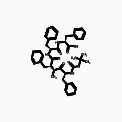 CN(C(=O)[C@H](Cc1ccccc1)NC(=O)OC(C)(C)C)[C@@H](Cc1ccccc1)C(=O)N[C@@H](Cc1ccccc1)C(=O)N[C@@H](Cc1ccccc1)C(=O)O